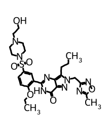 CCCc1c2nc(-c3cc(S(=O)(=O)N4CCN(CCO)CC4)ccc3OCC)[nH]c(=O)c2nn1Cc1noc(C)n1